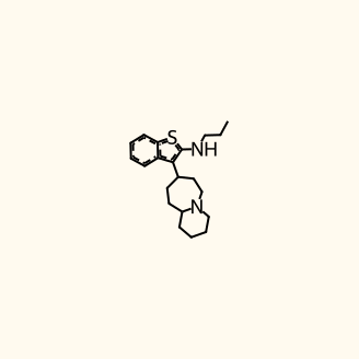 CCCNc1sc2ccccc2c1C1CCC2CCCCN2CC1